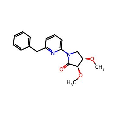 CO[C@@H]1CN(c2cccc(Cc3ccccc3)n2)C(=O)[C@@H]1OC